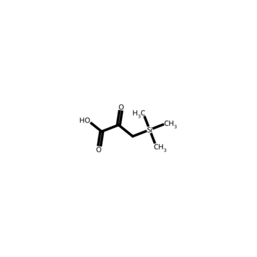 C[Si](C)(C)CC(=O)C(=O)O